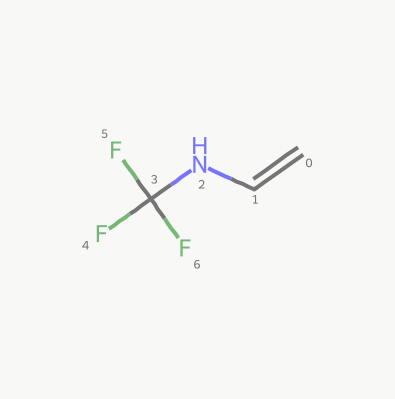 C=CNC(F)(F)F